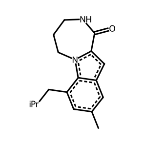 Cc1cc(CC(C)C)c2c(c1)cc1n2CCCNC1=O